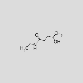 CCNC(=O)CC[C@@H](C)O